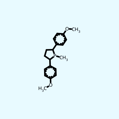 COc1ccc(C2CCC(c3ccc(OC)cc3)P2C)cc1